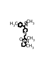 CO/N=C(\c1ccc(C)cc1)C1CCN(CCc2c(C)nc3n(c2=O)CCCC3C)CC1